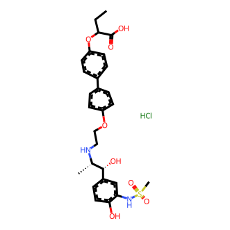 CCC(Oc1ccc(-c2ccc(OCCN[C@@H](C)[C@H](O)c3ccc(O)c(NS(C)(=O)=O)c3)cc2)cc1)C(=O)O.Cl